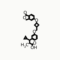 C[C@H](C(=O)O)C(c1cccc(OCC2CC(Oc3ccc4c(c3)COC4=O)C2)c1)C1CC1